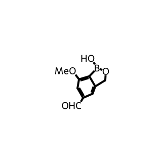 COc1cc(C=O)cc2c1B(O)OC2